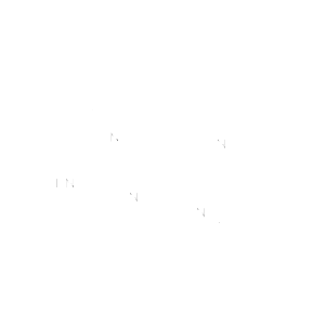 Nc1nc(N)[n+]([O-])cc1N1CCCC1